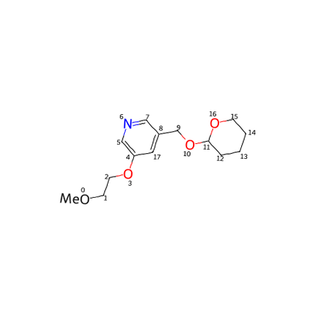 COCCOc1cncc(COC2CCCCO2)c1